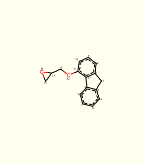 c1ccc2c(c1)Cc1cccc(OCC3CO3)c1-2